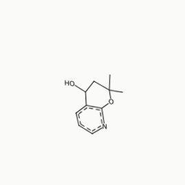 CC1(C)CC(O)c2cccnc2O1